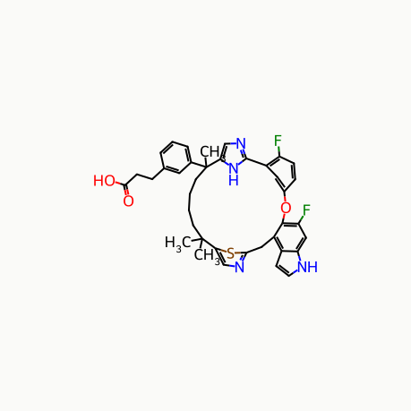 CC1(C)CCCCC(C)(c2cccc(CCC(=O)O)c2)c2cnc([nH]2)-c2cc(ccc2F)Oc2c(F)cc3[nH]ccc3c2Cc2ncc1s2